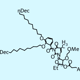 CCCCCCCCCCCCCCCCCCCCOc1cccc(C(=O)n2c(=O)c(C)cn([C@@H]3O[C@H](CC)[C@H](OC(=O)CCC(C)=O)C3OCCOC)c2=O)c1OCCCCCCCCCCCCCCCCCCCC